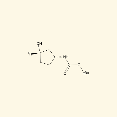 [2H][C@]1(O)CC[C@@H](NC(=O)OC(C)(C)C)C1